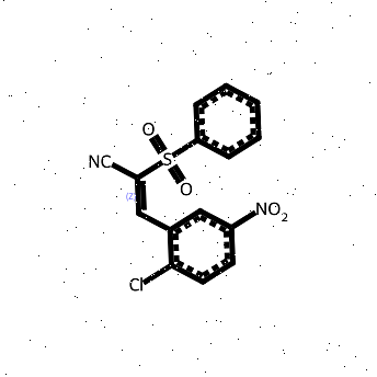 N#C/C(=C/c1cc([N+](=O)[O-])ccc1Cl)S(=O)(=O)c1ccccc1